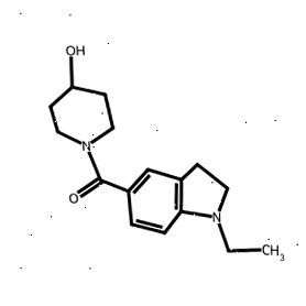 CCN1CCc2cc(C(=O)N3CCC(O)CC3)ccc21